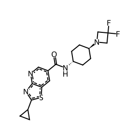 O=C(N[C@H]1CC[C@H](N2CC(F)(F)C2)CC1)c1cnc2nc(C3CC3)sc2c1